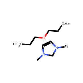 CCN1C=CN(C)C1.COCCOCCC(=O)O